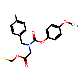 COc1ccc(OC(=O)N(CC(=O)OCS)Cc2ccc(I)cc2)cc1